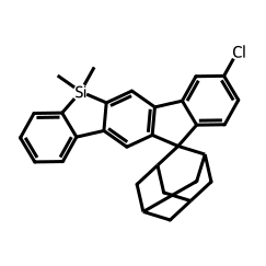 C[Si]1(C)c2ccccc2-c2cc3c(cc21)-c1cc(Cl)ccc1C31C2CC3CC(C2)CC1C3